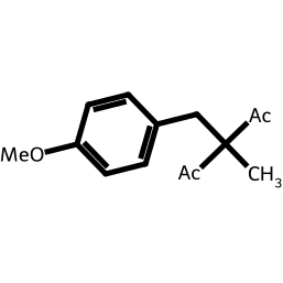 COc1ccc(CC(C)(C(C)=O)C(C)=O)cc1